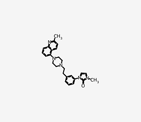 Cc1ccc2c(N3CCN(CCc4cccc(-n5ccn(C)c5=O)c4)CC3)cccc2n1